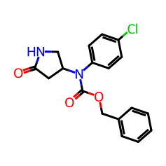 O=C1CC(N(C(=O)OCc2ccccc2)c2ccc(Cl)cc2)CN1